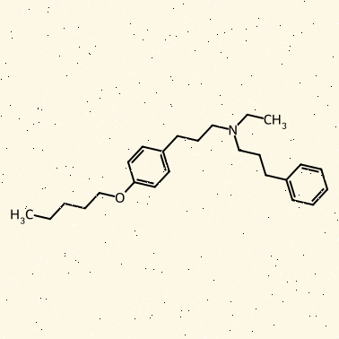 CCCCCOc1ccc(CCCN(CC)CCCc2ccccc2)cc1